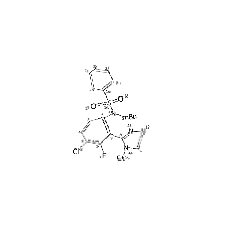 CCCCN(c1ccc(Cl)c(F)c1-c1nncn1CC)S(=O)(=O)c1ccccc1